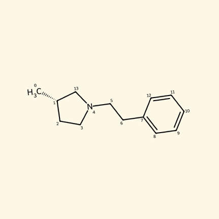 C[C@H]1CCN(CCc2ccccc2)C1